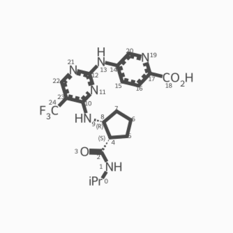 CC(C)NC(=O)[C@H]1CCC[C@H]1Nc1nc(Nc2ccc(C(=O)O)nc2)ncc1C(F)(F)F